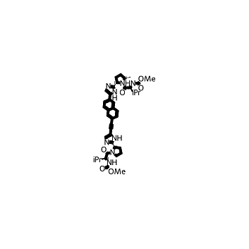 COC(=O)N[C@H](C(=O)N1CCC[C@H]1c1ncc(C#Cc2ccc3cc(-c4cnc([C@@H]5CC[C@H](C)N5C(=O)[C@@H](NC(=O)OC)C(C)C)[nH]4)ccc3c2)[nH]1)C(C)C